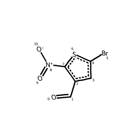 O=Cc1cc(Br)sc1[N+](=O)[O-]